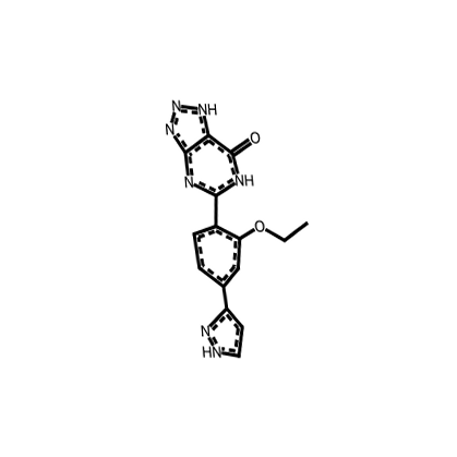 CCOc1cc(-c2cc[nH]n2)ccc1-c1nc2nn[nH]c2c(=O)[nH]1